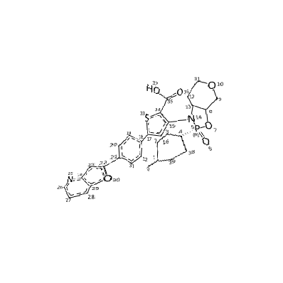 CC1CCC([P@@]2(=O)OC3COCCC3N2c2cc(-c3ccc(-c4cc5ncccc5o4)cc3)sc2C(=O)O)CC1